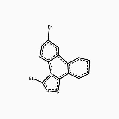 CCc1nnc2c3ccccc3c3cc(Br)ccc3n12